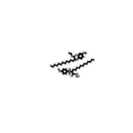 CCCCCCCCCCCCC(C(=O)NO)S(=O)(=O)c1ccc(OC)cc1.CCCCCCCCCCCCC(Sc1ccc(OC)cc1)C(=O)OCC